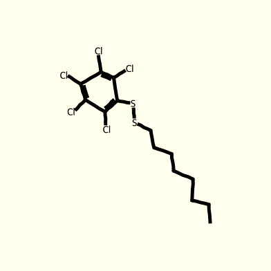 CCCCCCCCSSc1c(Cl)c(Cl)c(Cl)c(Cl)c1Cl